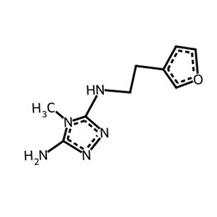 Cn1c(N)nnc1NCCc1ccoc1